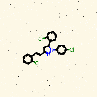 Clc1ccc(N2N=C(C=Cc3ccccc3Cl)CC2c2ccccc2Cl)cc1